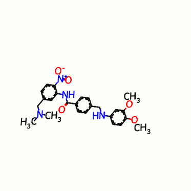 COc1ccc(NCc2ccc(C(=O)Nc3cc(CN(C)C)ccc3[N+](=O)[O-])cc2)cc1OC